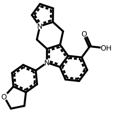 O=C(O)c1cccc2c1c1c(n2-c2ccc3c(c2)CCO3)Cn2cccc2C1